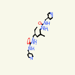 CCC(CNC(=O)NCc1ccncc1)CC(C)CNC(=O)NCc1ccncc1